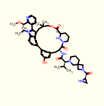 CCn1c(-c2cccnc2[C@H](C)OC)c2c3cc(ccc31)-c1cc(O)cc(c1)C[C@H](NC(=O)[C@H](C(C)C)N1CCCC3(CN(C(=O)[C@H]4CN4)C3)C1)C(=O)N1CCC[C@H](N1)C(=O)OCC(C)(C)C2